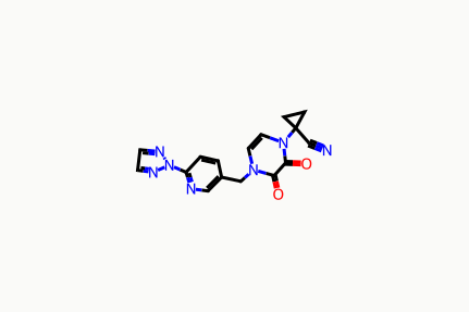 N#CC1(n2ccn(Cc3ccc(-n4nccn4)nc3)c(=O)c2=O)CC1